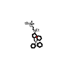 CCN(CCO[Si](C)(C)C(C)(C)C)c1ccc(C[PH](c2ccccc2)(c2ccccc2)c2ccccc2)cc1